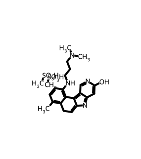 CS(=O)(=O)O.CS(=O)(=O)O.Cc1ccc(NCCCN(C)C)c2c1CC=C1N=c3cc(O)ncc3=C12